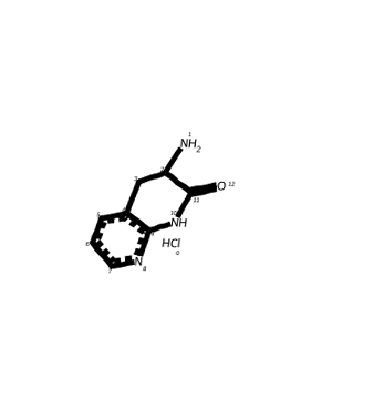 Cl.NC1Cc2cccnc2NC1=O